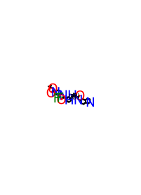 CC(C)(C)OC(=O)N1CCC(NC(=O)c2cccc([C@@H]3C[C@H]3C(=O)Nc3ccc4cnccc4c3)c2)C(F)(F)C1